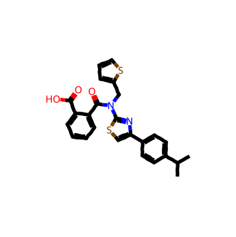 CC(C)c1ccc(-c2csc(N(Cc3cccs3)C(=O)c3ccccc3C(=O)O)n2)cc1